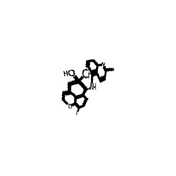 Cc1ccc2c(N[C@H]3c4ccc(F)c5c4C(=CCO5)C[C@@]3(O)C(F)(F)F)cccc2n1